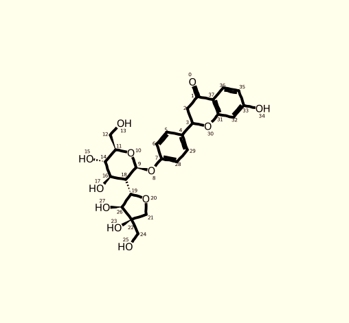 O=C1CC(c2ccc(O[C@@H]3O[C@H](CO)[C@@H](O)[C@H](O)C3[C@@H]3OC[C@](O)(CO)[C@H]3O)cc2)Oc2cc(O)ccc21